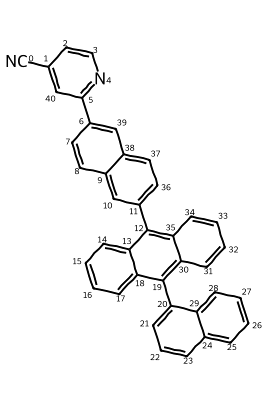 N#Cc1ccnc(-c2ccc3cc(-c4c5ccccc5c(-c5cccc6ccccc56)c5ccccc45)ccc3c2)c1